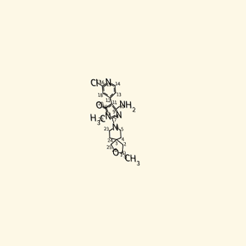 C[C@H]1CC2(CCN(c3nc(N)c(-c4ccnc(Cl)c4)c(=O)n3C)CC2)CO1